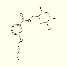 CCCCOc1cccc(C(=O)OCC2O[C@H](O)C(C)[C@@H](C)[C@@H]2C)c1